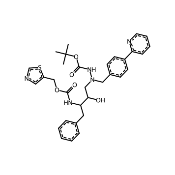 CC(C)(C)OC(=O)NN(Cc1ccc(-c2ccccn2)cc1)CC(O)C(Cc1ccccc1)NC(=O)OCc1cncs1